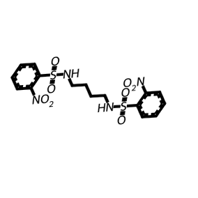 O=[N+]([O-])c1ccccc1S(=O)(=O)NCCCCNS(=O)(=O)c1ccccc1[N+](=O)[O-]